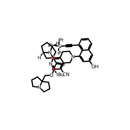 CC(C)[Si](C#Cc1cccc2cc(O)cc(N3CCc4c(N5[C@@H]6CC[C@H]5CN(C(=O)OC(C)(C)C)C6)nc(OCC56CCCN5CCC6)c(C#N)c4C3)c12)(C(C)C)C(C)C